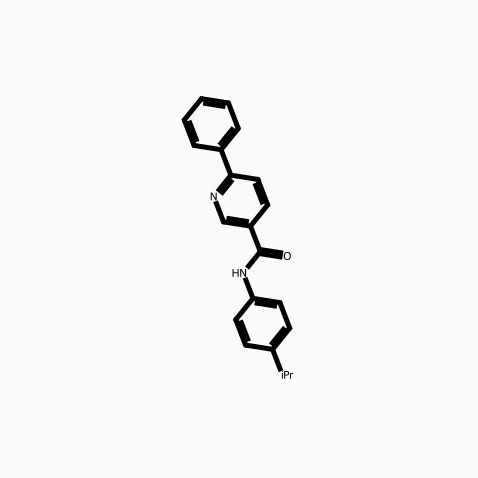 CC(C)c1ccc(NC(=O)c2ccc(-c3ccccc3)nc2)cc1